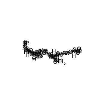 Cc1csc2c(OC(=O)N(C)CCN(C)C(=O)OCc3ccc(NC(=O)[C@H](CCCNC(N)=O)NC(=O)CNC(=O)CCOCCOCCOCCOCCNC(=O)CCN4C(=O)C=CC4=O)cc3)cc3c(c12)[C@@H](CCl)CN3C(=O)c1cc2cc(NC(=O)c3cc4cc(OCCN5CCCC5)ccc4[nH]3)ccc2[nH]1